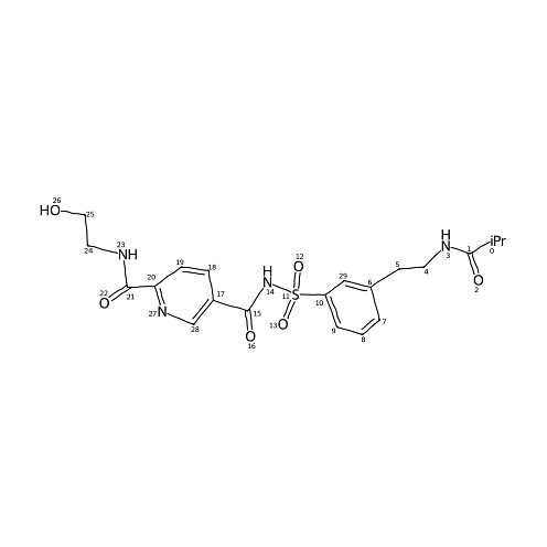 CC(C)C(=O)NCCc1cccc(S(=O)(=O)NC(=O)c2ccc(C(=O)NCCO)nc2)c1